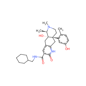 Cc1ccc(O)cc1[C@]12CCN(C)[C@H](C)[C@]1(O)Cc1cc(C(=O)NCC3CCCCC3)c(=O)[nH]c1C2